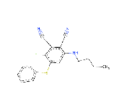 CCCCNc1cc(Sc2ccccc2)c(F)c(C#N)c1C#N